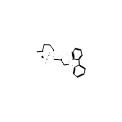 CC1CCCN(CC(O)Cn2c3ccccc3c3ccccc32)S1(=O)=O